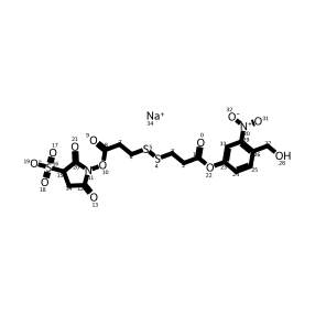 O=C(CCSSCCC(=O)ON1C(=O)CC(S(=O)(=O)[O-])C1=O)Oc1ccc(CO)c([N+](=O)[O-])c1.[Na+]